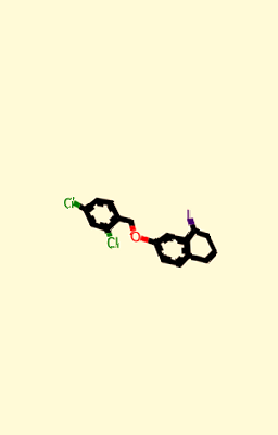 Clc1ccc(COc2ccc3c(c2)C(I)CCC3)c(Cl)c1